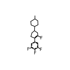 CC1CCC(C2CCC(c3cc(F)c(F)c(F)c3)=C(F)C2)CC1